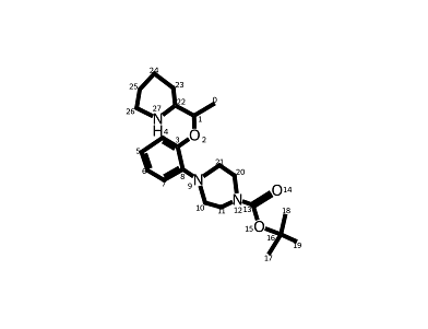 CC(Oc1ccccc1N1CCN(C(=O)OC(C)(C)C)CC1)C1CCCCN1